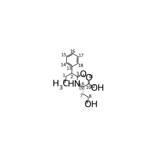 CCC(C(=O)N[C@@H](CCO)C(=O)O)c1ccccc1